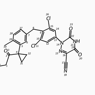 CCC(=O)C1(c2cc(Cc3c(Cl)cc(-n4nc(C#N)c(=O)[nH]c4=O)cc3Cl)ccc2C)CC1